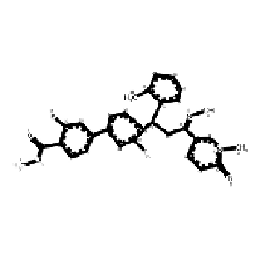 COC(=O)c1ccc(-c2ccc(C(CC(=NO)c3ccc(=O)n(C)c3)c3ccccc3C)c(F)c2)cc1F